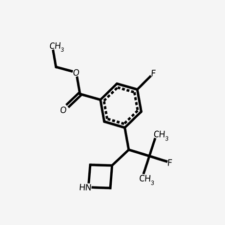 CCOC(=O)c1cc(F)cc(C(C2CNC2)C(C)(C)F)c1